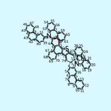 CC1(N(c2ccc3ccc4ccccc4c3c2)c2ccccc2-c2ccccc2)C=c2sc3c4ccc(N(c5ccc6ccc7ccccc7c6c5)c5ccccc5-c5ccccc5)cc4c4ccccc4c3c2=CC1